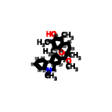 COC(c1cccc(CN(C)c2ccccc2)c1)C1(C)CCc2c(C)c(O)c(C)c(C)c2O1